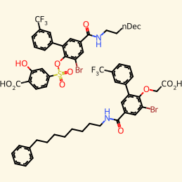 CCCCCCCCCCCCNC(=O)c1cc(Br)c(OS(=O)(=O)c2ccc(C(=O)O)c(O)c2)c(-c2cccc(C(F)(F)F)c2)c1.O=C(O)COc1c(Br)cc(C(=O)NCCCCCCCCc2ccccc2)cc1-c1cccc(C(F)(F)F)c1